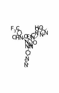 CCc1c(N2CCN(C(=O)c3ncnc(C)c3O)CC2)c(=O)n2nc(-c3ccc(N4CC5(CN(C)C5)C4)cc3)nc2n1CC(=O)Nc1ccc(C(F)(F)F)cc1Cl